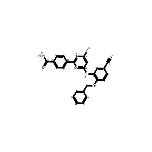 N#Cc1ccc(OCc2ccccc2)c(Oc2cc(Cl)nc(-c3ccc(C(N)=O)cc3)n2)c1